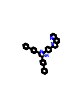 C1=C(C2=Nc3c(ccc4cccnc34)CC2)CCC(C2=NC(c3ccc(-c4ccccc4)cc3)=CC(c3ccc(-c4ccccc4)cc3)N2)=C1